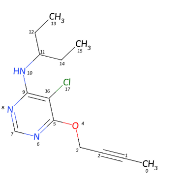 CC#CCOc1ncnc(NC(CC)CC)c1Cl